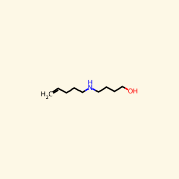 C=CCCCNCCCCO